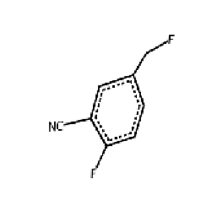 N#Cc1cc(CF)ccc1F